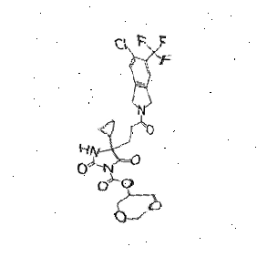 O=C(CCC1(C2CC2)NC(=O)N(C(=O)OC2COCOC2)C1=O)N1Cc2cc(Cl)c(C(F)(F)F)cc2C1